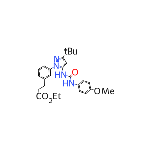 CCOC(=O)CCc1cccc(-n2nc(C(C)(C)C)cc2NC(=O)Nc2ccc(OC)cc2)c1